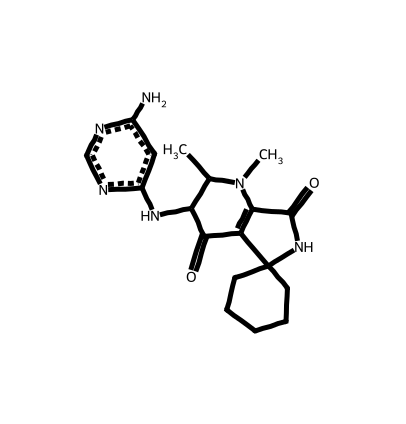 CC1C(Nc2cc(N)ncn2)C(=O)C2=C(C(=O)NC23CCCCC3)N1C